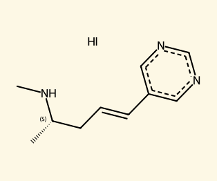 CN[C@@H](C)CC=Cc1cncnc1.I